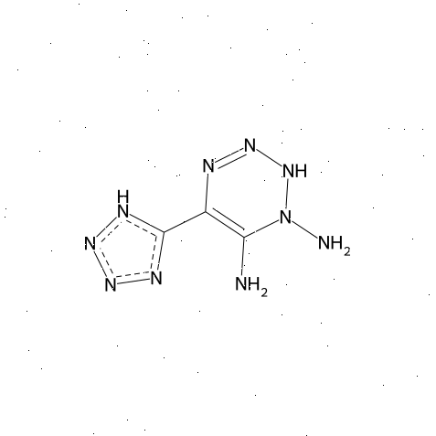 NC1=C(c2nnn[nH]2)N=NNN1N